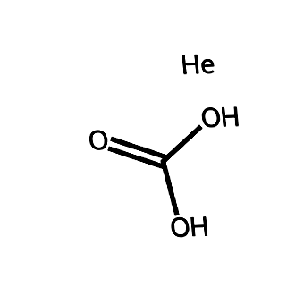 O=C(O)O.[He]